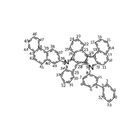 c1ccc(-c2cccc(-n3c4ccc5ccccc5c4c4c5ccccc5c5c(c6ccccc6n5-c5ccc6c(ccc7ccccc76)c5)c43)c2)cc1